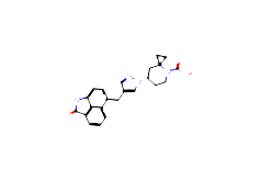 CC(C)(C)OC(=O)N1CC[C@@H](n2cc(Cc3ccc4c5c(cccc35)C(=O)N4)cn2)CC12CC2